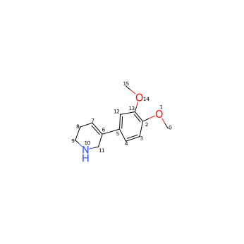 COc1ccc(C2=CCCNC2)cc1OC